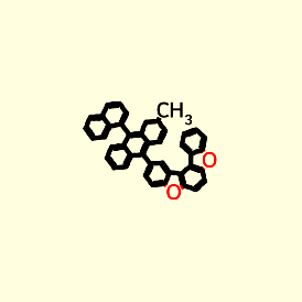 CC1C=Cc2c(c(-c3cccc4ccccc34)c3ccccc3c2-c2ccc3oc4ccc5oc6ccccc6c5c4c3c2)C1